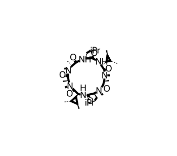 CC(C)C[C@H]1NC(=O)[C@@H](C)N(C)C(=O)[C@H](C)N(C)C(=O)[C@H](C2[C@@H](C)[C@@H]2C)NC(=O)[C@H](CC(C)C)N(C)C(=O)[C@H](C)N(C)C(=O)[C@@H](C2[C@@H](C)[C@@H]2C)NC1=O